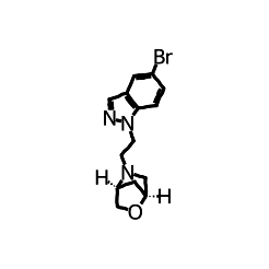 Brc1ccc2c(cnn2CCN2C[C@@H]3C[C@H]2CO3)c1